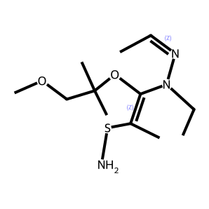 C/C=N\N(CC)/C(OC(C)(C)COC)=C(\C)SN